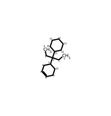 CCC(CC)(C1CC=CCC1)C1CCCCC1